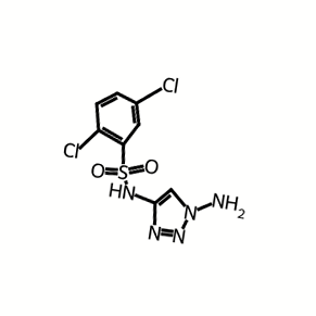 Nn1cc(NS(=O)(=O)c2cc(Cl)ccc2Cl)nn1